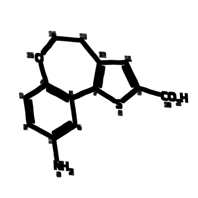 Nc1ccc2c(c1)-c1sc(C(=O)O)cc1CCO2